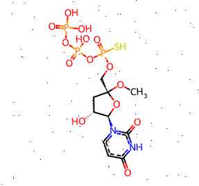 CO[C@@]1(COP(=O)(S)OP(=O)(O)OP(=O)(O)O)C[C@@H](O)[C@H](n2ccc(=O)[nH]c2=O)O1